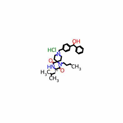 CCCCN1C(=O)[C@H](CC(C)C)NC(=O)C12CCN(Cc1ccc(C(O)c3ccccc3)cc1)CC2.Cl